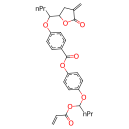 C=CC(=O)OC(CCC)Oc1ccc(OC(=O)c2ccc(OC(CCC)C3CC(=C)C(=O)O3)cc2)cc1